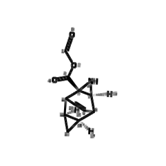 O=COC(=O)[C@@]12N[C@H]1C1C=CC2[C@@H]2C[C@H]12